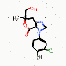 CC1(CO)Cc2ncn(-c3ccc(C#N)c(Cl)c3)c2C(=O)O1